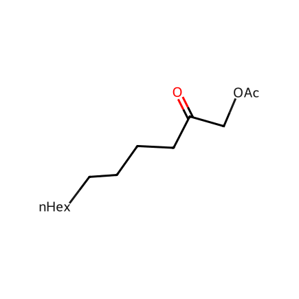 CCCCCCCCCCC(=O)COC(C)=O